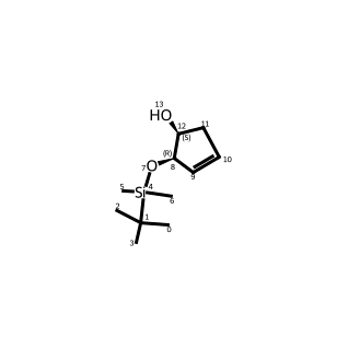 CC(C)(C)[Si](C)(C)O[C@@H]1C=CC[C@@H]1O